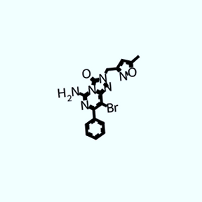 Cc1cc(Cn2nc3c(Br)c(-c4ccccc4)nc(N)n3c2=O)no1